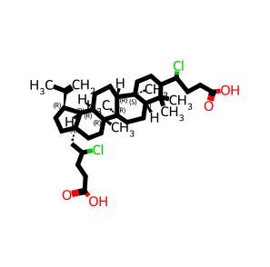 C=C(C)[C@@H]1CC[C@]2(CC(Cl)CCC(=O)O)CC[C@]3(C)[C@H](CC[C@@H]4[C@@]5(C)CCC(C(Cl)CCC(=O)O)C(C)(C)[C@@H]5CC[C@]43C)[C@@H]12